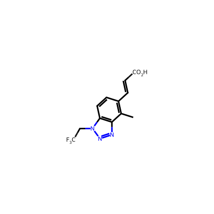 Cc1c(/C=C/C(=O)O)ccc2c1nnn2CC(F)(F)F